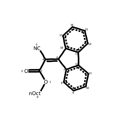 CCCCCCCCOC(=O)C(C#N)=C1c2ccccc2-c2ccccc21